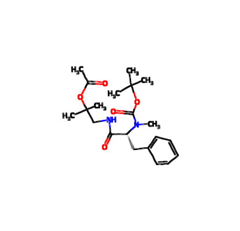 CC(=O)OC(C)(C)CNC(=O)[C@@H](Cc1ccccc1)N(C)C(=O)OC(C)(C)C